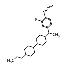 CCCC1CCC(C2CCC(C(C)c3ccc(N=C=S)c(F)c3)CC2)CC1